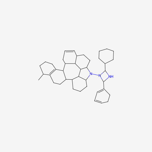 CC1CCCC2=C1CCC1C3CCCC4C3C3C5C(C=CCC5C21)CCC3N4N1C(C2=CC=CCC2)NC1C1CCCCC1